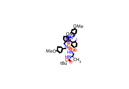 COc1ccc(CN(Cc2ccc(OC)cc2)S(=O)(=O)c2c(S(=O)(=O)NC[C@H](C)NC(=O)OC(C)(C)C)ccc(I)c2-c2nnnn2Cc2ccc(OC)cc2)cc1